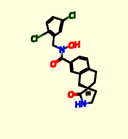 O=C(c1ccc2c(c1)C[C@]1(CCNC1=O)CC2)N(O)Cc1cc(Cl)ccc1Cl